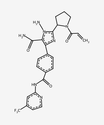 C=CC(=O)N1CCCC1c1nc(-c2ccc(C(=O)Nc3cc(C(F)(F)F)ccn3)cc2)c(C(N)=O)n1N